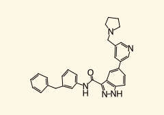 O=C(Nc1cccc(Cc2ccccc2)c1)c1n[nH]c2ccc(-c3cncc(CN4CCCC4)c3)cc12